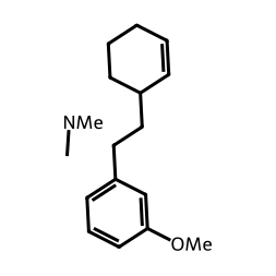 CNC.COc1cccc(CCC2C=CCCC2)c1